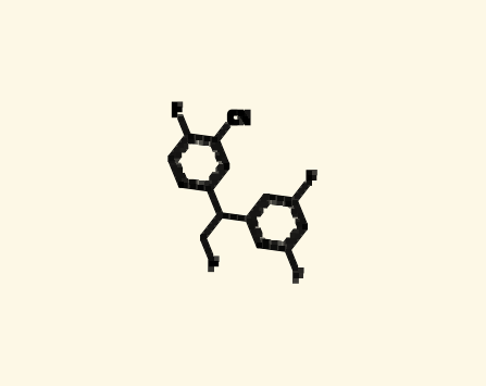 N#Cc1cc(C(CF)c2cc(F)cc(F)c2)ccc1F